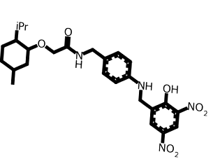 CC1CCC(C(C)C)C(OCC(=O)NCc2ccc(NCc3cc([N+](=O)[O-])cc([N+](=O)[O-])c3O)cc2)C1